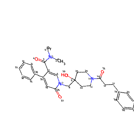 CC(C)N(C)C(=O)c1cn(CC2(O)CCN(C(=O)CCc3ccccc3)CC2)c(=O)cc1-c1ccccc1